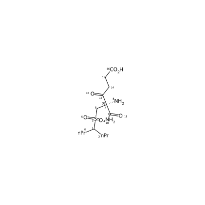 CCCC(CCC)S(=O)(=O)C[C@](N)(C(N)=O)C(=O)CCC(=O)O